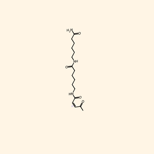 CC(=O)/C=C\C(=O)NCCCCCC(=O)NCCCCCC(N)=O